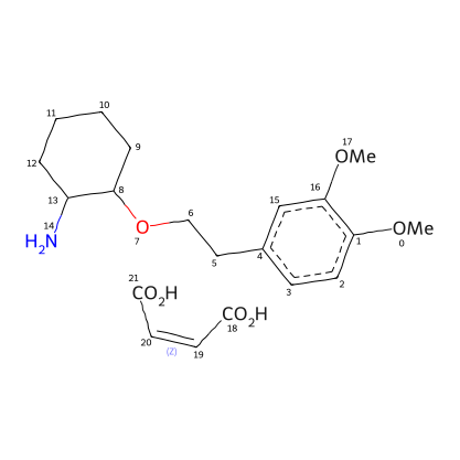 COc1ccc(CCOC2CCCCC2N)cc1OC.O=C(O)/C=C\C(=O)O